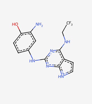 Nc1cc(Nc2nc(NCC(F)(F)F)c3cc[nH]c3n2)ccc1O